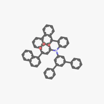 c1ccc(-c2cc(-c3ccccc3)cc(N(c3cccc(-c4cccc5ccccc45)c3)c3ccccc3-c3cc4ccccc4c4ccccc34)c2)cc1